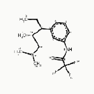 CC[C@@H](c1cccc(NC(=O)C(F)(F)F)c1)[C@@H](C)CN(C)C